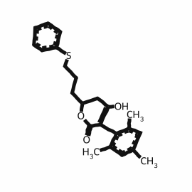 Cc1cc(C)c(C2=C(O)CC(CCCSc3ccccc3)OC2=O)c(C)c1